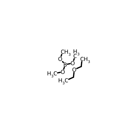 CCOCC.COB(OC)OC